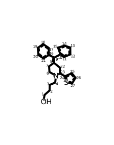 OCCCCN1CCC(=C(c2ccccc2)c2ccccc2)CC1c1cccs1